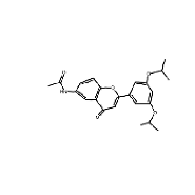 CC(=O)Nc1ccc2oc(-c3cc(OC(C)C)cc(OC(C)C)c3)cc(=O)c2c1